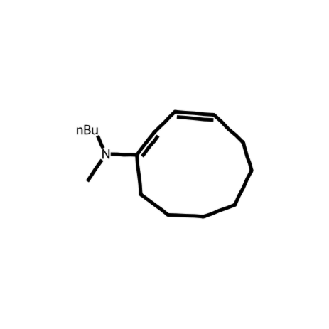 CCCCN(C)/C1=C/C=C\CCCCCC1